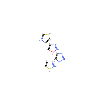 [c]1c[nH]nn1.[c]1conn1.[c]1csnn1.[c]1nccs1